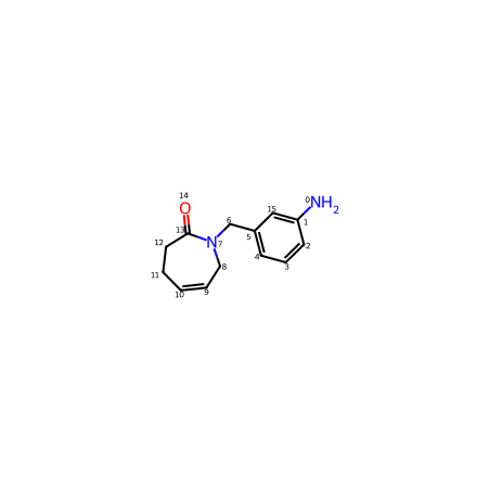 Nc1cccc(CN2CC=CCCC2=O)c1